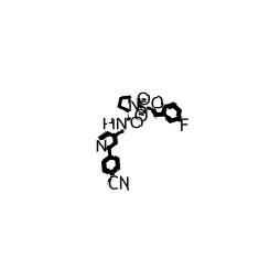 N#Cc1ccc(-c2cc(CNC(=O)[C@@H]3CCCN3S(=O)(=O)c3cc4cc(F)ccc4o3)ccn2)cc1